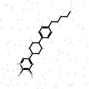 CCCCCc1ccc(C2CCC(c3cnc(F)c(F)c3)CC2)cc1